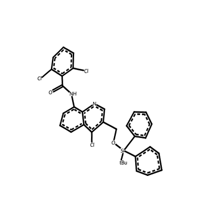 CC(C)(C)[Si](OCc1cnc2c(NC(=O)c3c(Cl)cccc3Cl)cccc2c1Cl)(c1ccccc1)c1ccccc1